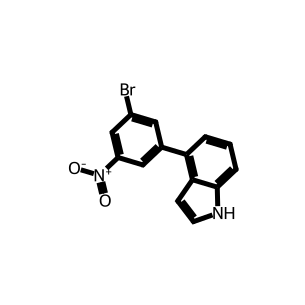 O=[N+]([O-])c1cc(Br)cc(-c2cccc3[nH]ccc23)c1